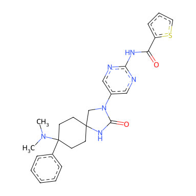 CN(C)C1(c2ccccc2)CCC2(CC1)CN(c1cnc(NC(=O)c3cccs3)nc1)C(=O)N2